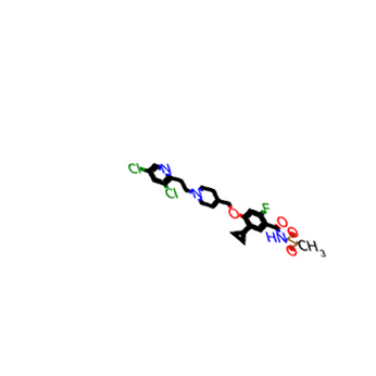 CS(=O)(=O)NC(=O)c1cc(C2CC2)c(OCC2CCN(CCc3ncc(Cl)cc3Cl)CC2)cc1F